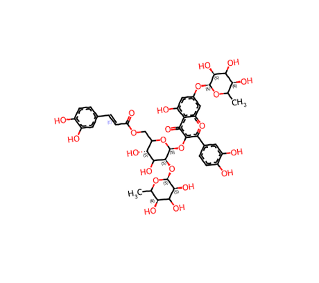 CC1O[C@@H](Oc2cc(O)c3c(=O)c(O[C@@H]4OC(COC(=O)/C=C/c5ccc(O)c(O)c5)[C@@H](O)C(O)[C@@H]4O[C@@H]4OC(C)[C@H](O)C(O)[C@@H]4O)c(-c4ccc(O)c(O)c4)oc3c2)[C@@H](O)C(O)[C@H]1O